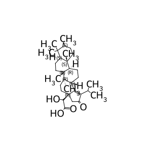 CC(C)C1=C2[C@H]3CC[C@@H]4[C@@]5(C)CC[C@H](C)C(C)(C)[C@@H]5CC[C@@]4(C)[C@]3(C)CC[C@@]2(C(O)C(=O)O)CC1=O